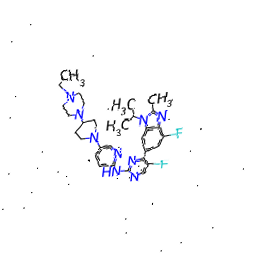 CCN1CCN(C2CCN(c3ccc(Nc4ncc(F)c(-c5cc(F)c6nc(C)n(C(C)C)c6c5)n4)nc3)CC2)CC1